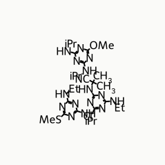 CCNc1nc(Cl)nc(NC(C)(C)C#N)n1.CCNc1nc(NC(C)C)nc(SC)n1.COc1nc(NC(C)C)nc(NC(C)C)n1